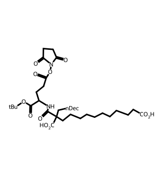 CCCCCCCCCCCC(CCCCCCCCCCC(=O)O)(C(=O)O)C(=O)NC(CCC(=O)ON1C(=O)CCC1=O)C(=O)OC(C)(C)C